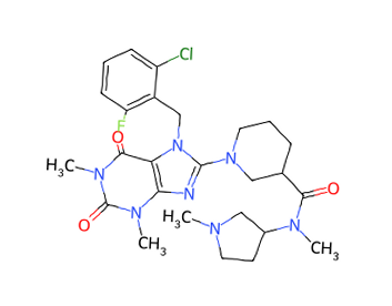 CN1CCC(N(C)C(=O)C2CCCN(c3nc4c(c(=O)n(C)c(=O)n4C)n3Cc3c(F)cccc3Cl)C2)C1